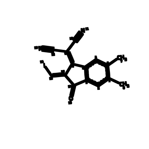 Cc1cc2c(cc1C)C(=C(C#N)C#N)/C(=C\I)C2=O